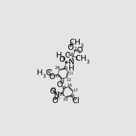 COC(=O)C(C)(C)NC(=O)c1ccc(Oc2ccc(Cl)cc2[N+](=O)[O-])c(OC)c1